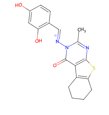 Cc1nc2sc3c(c2c(=O)n1/N=C/c1ccc(O)cc1O)CCCC3